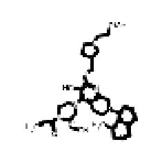 C=CC(=O)N1CCN(c2c(C#N)c(OCC3CCN(CCOC)C3)nc3c2CCN(c2cccc4cccc(C)c24)C3)C[C@@H]1CC#N